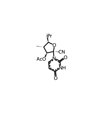 CC(=O)O[C@H]1[C@H](C)[C@@H](C(C)C)O[C@@]1(C#N)n1ccc(=O)[nH]c1=O